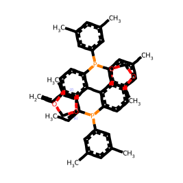 C=C/C(C)=C\C(=C/C)P(c1cc(C)cc(C)c1)c1ccc2c(c1-c1c(P(c3cc(C)cc(C)c3)c3cc(C)cc(C)c3)ccc3c1OCO3)OCO2